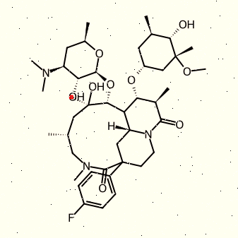 CO[C@]1(C)C[C@H](O[C@H]2C3[C@H]4CC(c5ccc(F)cc5)(CCN4C(=O)[C@@H]2C)C(=O)N(C)C[C@H](C)C[C@@](C)(O)[C@@H]3O[C@@H]2O[C@H](C)C[C@H](N(C)C)[C@H]2O)C[C@@H](C)[C@@H]1O